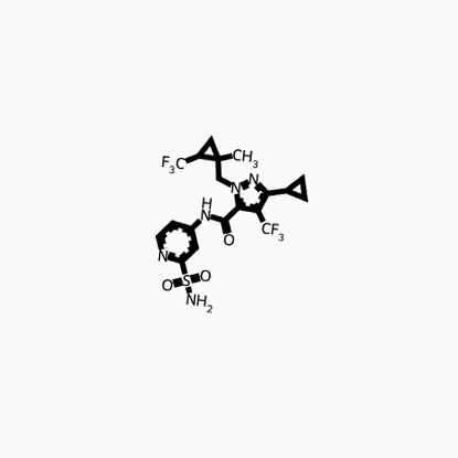 CC1(Cn2nc(C3CC3)c(C(F)(F)F)c2C(=O)Nc2ccnc(S(N)(=O)=O)c2)CC1C(F)(F)F